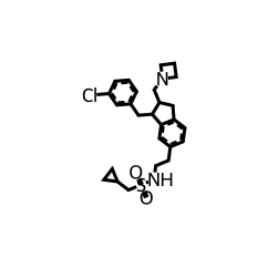 O=S(=O)(CC1CC1)NCCc1ccc2c(c1)C(Cc1cccc(Cl)c1)C(CN1CCC1)C2